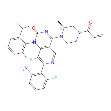 C=CC(=O)N1CCN(c2nc(=O)n(-c3c(C)cccc3C(C)C)c3c(F)c(-c4c(N)cccc4F)ncc23)[C@@H](C)C1